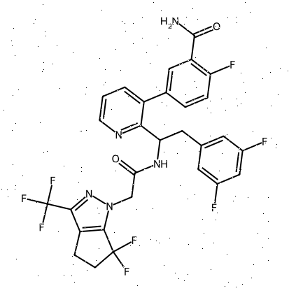 NC(=O)c1cc(-c2cccnc2C(Cc2cc(F)cc(F)c2)NC(=O)Cn2nc(C(F)(F)F)c3c2C(F)(F)CC3)ccc1F